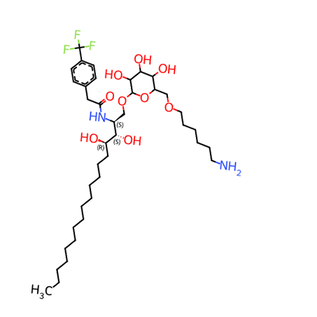 CCCCCCCCCCCCCC[C@@H](O)[C@@H](O)[C@H](COC1OC(COCCCCCCN)C(O)C(O)C1O)NC(=O)Cc1ccc(C(F)(F)F)cc1